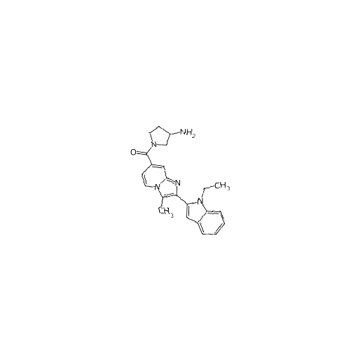 CCn1c(-c2nc3cc(C(=O)N4CCC(N)C4)ccn3c2C)cc2ccccc21